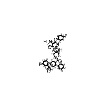 Nc1c(Oc2ccc(F)cc2)ncn(CC2(O)CCN(C(=O)[C@@H]3CCN(C4(c5cccc(F)c5)COC4)C[C@H]3c3ccccc3)CC2)c1=O